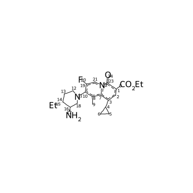 CCOC(=O)c1cc(C2CC2)c2c(C)c(N3CC[C@@H](CC)[C@H](N)C3)c(F)cn2c1=O